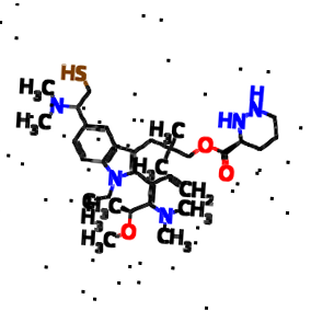 C=C/C(=C(/[C@H](C)OC)N(C)C)c1c(CC(C)(C)COC(=O)[C@@H]2CCCNN2)c2cc(C(CS)N(C)C)ccc2n1CC